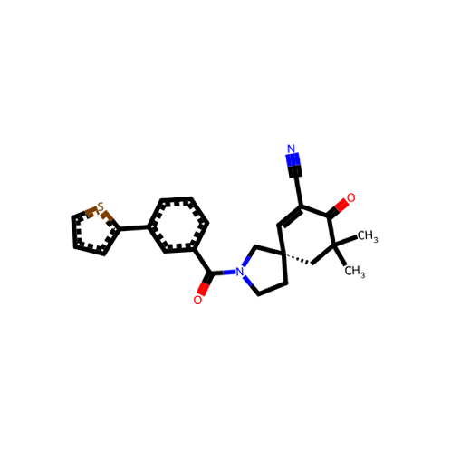 CC1(C)C[C@]2(C=C(C#N)C1=O)CCN(C(=O)c1cccc(-c3cccs3)c1)C2